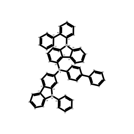 c1ccc(-c2ccc(N(c3ccc4c5ccccc5n(-c5ccccc5)c4c3)c3cccc4c3c3ccccc3n4-c3ccccc3-c3ccccc3)cc2)cc1